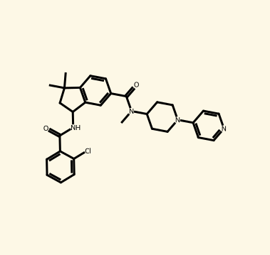 CN(C(=O)c1ccc2c(c1)C(NC(=O)c1ccccc1Cl)CC2(C)C)C1CCN(c2ccncc2)CC1